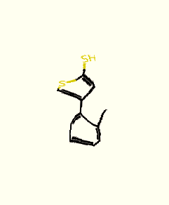 Cc1ccccc1-c1csc(S)c1